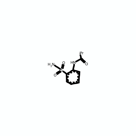 CC(C)C(=O)Nc1ccccc1S(N)(=O)=O